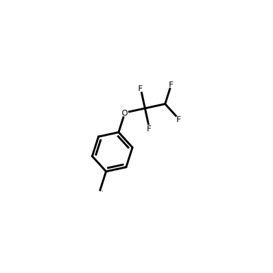 [CH2]c1ccc(OC(F)(F)C(F)F)cc1